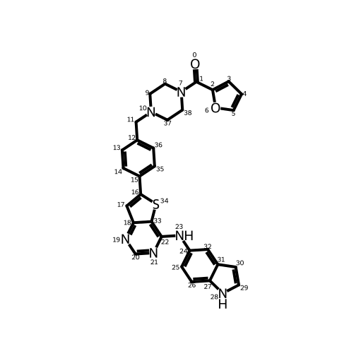 O=C(c1ccco1)N1CCN(Cc2ccc(-c3cc4ncnc(Nc5ccc6[nH]ccc6c5)c4s3)cc2)CC1